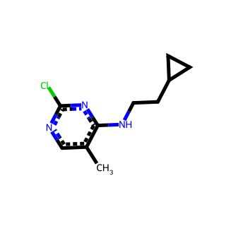 Cc1cnc(Cl)nc1NCCC1CC1